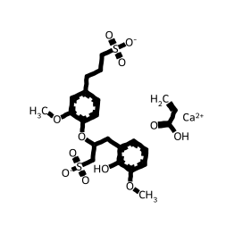 C=CC(=O)O.COc1cc(CCCS(=O)(=O)[O-])ccc1OC(Cc1cccc(OC)c1O)CS(=O)(=O)[O-].[Ca+2]